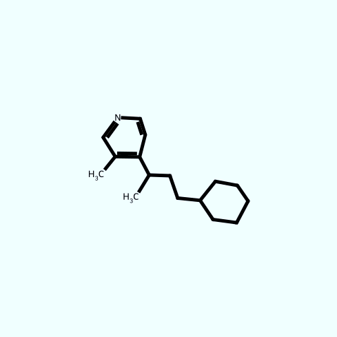 Cc1cnccc1C(C)CCC1CCCCC1